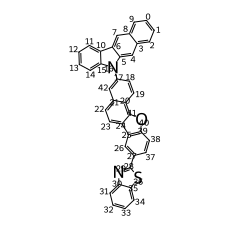 c1ccc2cc3c(cc2c1)c1ccccc1n3-c1ccc2c(ccc3c4cc(-c5nc6ccccc6s5)ccc4oc23)c1